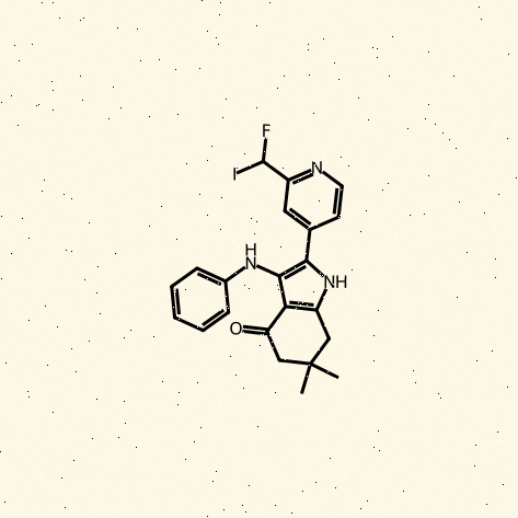 CC1(C)CC(=O)c2c([nH]c(-c3ccnc(C(F)I)c3)c2Nc2ccccc2)C1